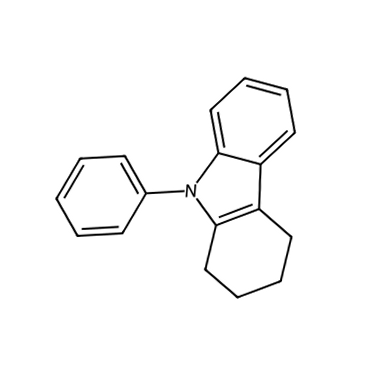 c1ccc(-n2c3c(c4ccccc42)CCCC3)cc1